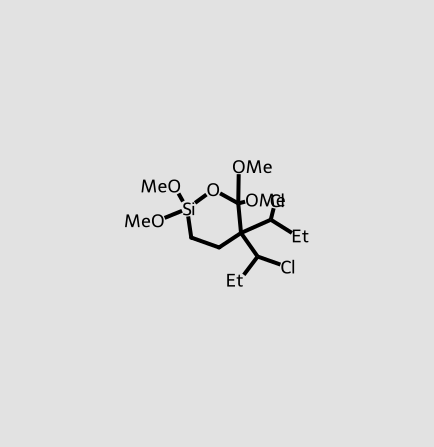 CCC(Cl)C1(C(Cl)CC)CC[Si](OC)(OC)OC1(OC)OC